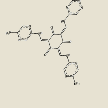 Nc1cnc(NC=C2C(=O)C(=CNc3cnc(N)cn3)C(=O)C(=CNc3cnc(N)cn3)C2=O)cn1